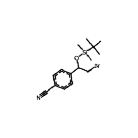 CC(C)(C)[Si](C)(C)OC(CBr)c1ccc(C#N)cc1